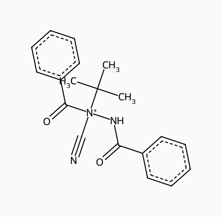 CC(C)(C)[N+](C#N)(NC(=O)c1ccccc1)C(=O)c1ccccc1